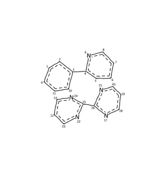 c1ccc(-c2ccccn2)cc1.c1cnc(-c2ncccn2)nc1